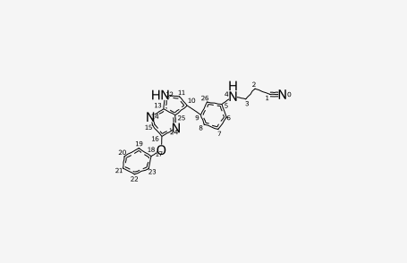 N#CCCNc1cccc(-c2c[nH]c3ncc(Oc4ccccc4)nc23)c1